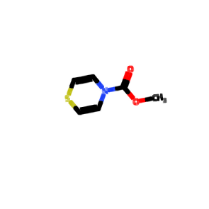 COC(=O)N1C=CSC=C1